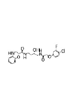 O=C(COc1ccc(Cl)c(F)c1)NC[C@@H](O)CCNC(=O)C1CNc2ccccc2O1